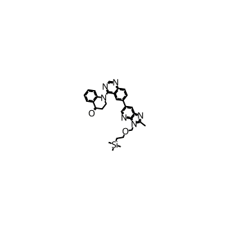 Cc1nc2cc(-c3ccc4ncnc(N5CCC(=O)c6ccccc65)c4c3)cnc2n1COCC[Si](C)(C)C